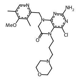 COc1c(C)cnc(CN2CC(=O)N(CCCN3CCOCC3)c3c(Cl)nc(N)nc32)c1C